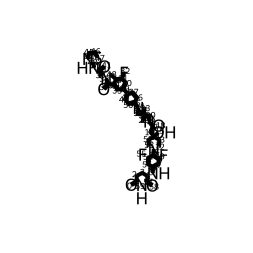 O=C1CCC(Nc2cc(F)c(N3CCC(O)(CC(=O)N4CC5(C4)CN(c4ccc(-c6cc(F)c7c(c6)C(=O)N(CC(=O)Nc6nccs6)C7)cc4)C5)CC3)c(F)c2)C(=O)N1